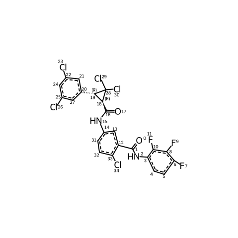 O=C(Nc1ccc(F)c(F)c1F)c1cc(NC(=O)[C@H]2[C@H](c3cc(Cl)cc(Cl)c3)C2(Cl)Cl)ccc1Cl